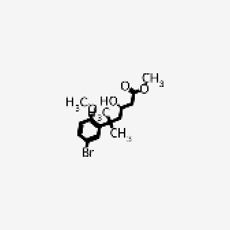 COC(=O)C[C@H](O)CC(C)(C)c1cc(Br)ccc1OC